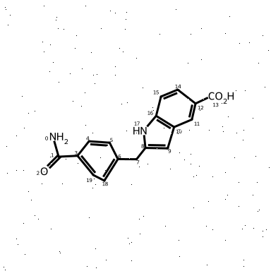 NC(=O)c1ccc(Cc2cc3cc(C(=O)O)ccc3[nH]2)cc1